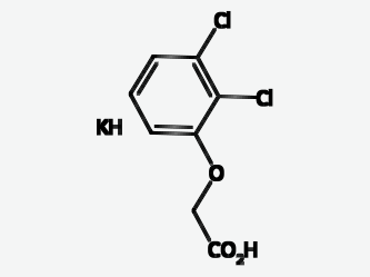 O=C(O)COc1cccc(Cl)c1Cl.[KH]